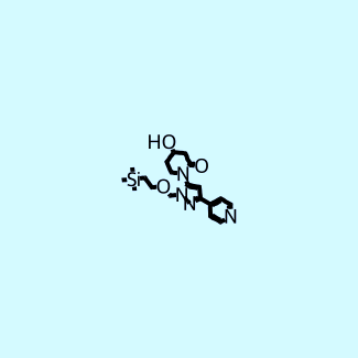 C[Si](C)(C)CCOCn1nc(-c2ccncc2)cc1N1CCC(O)CC1=O